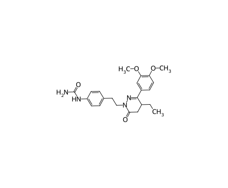 CCC1CC(=O)N(CCc2ccc(NC(N)=O)cc2)N=C1c1ccc(OC)c(OC)c1